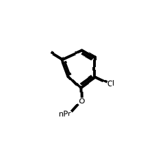 CCCOc1cc(C)ccc1Cl